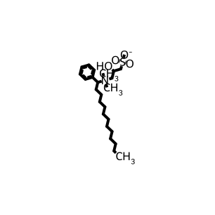 CCCCCCCCCCCCC(c1ccccc1)[N+](C)(C)CC(O)CS(=O)(=O)[O-]